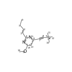 CCC=Cc1nc(C#C[Si](C)(C)C)cc(OC)n1